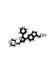 ON=C1CCc2cc(-c3cc(CN4CCOCC4)oc3-c3ccncc3)ccc21